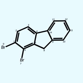 Brc1ccc2c(c1Br)Cc1ccccc1-2